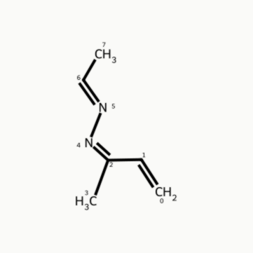 C=C/C(C)=N\N=C\C